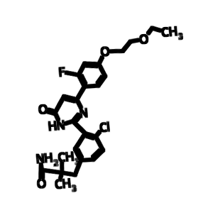 CCOCCOc1ccc(-c2cc(=O)[nH]c(-c3cc(CC(C)(C)C(N)=O)ccc3Cl)n2)c(F)c1